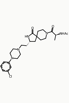 CC(=O)N[C@@H](C)C(=O)N1CCC2(CC1)C[C@H](CCN1CCN(c3cccc(Cl)c3)CC1)NC2=O